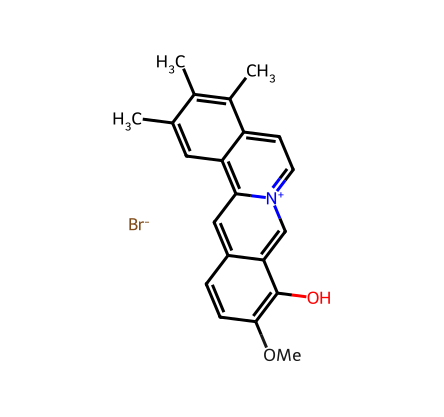 COc1ccc2cc3c4cc(C)c(C)c(C)c4cc[n+]3cc2c1O.[Br-]